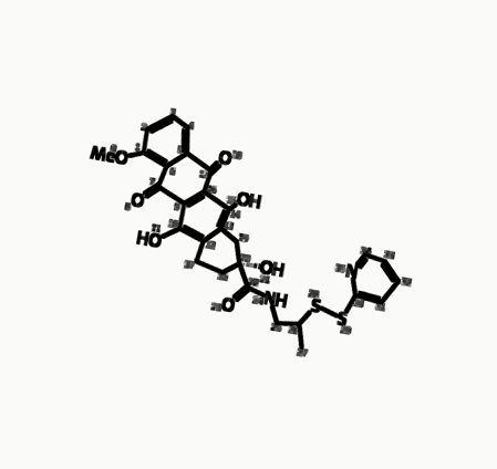 COc1cccc2c1C(=O)c1c(O)c3c(c(O)c1C2=O)C[C@@](O)(C(=O)NCC(C)SSc1ccccn1)CC3